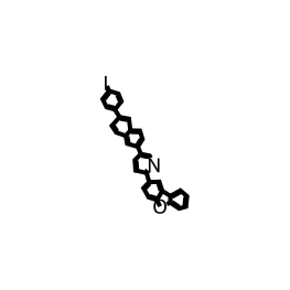 Ic1ccc(-c2ccc3cc(-c4ccc(-c5ccc6oc7ccccc7c6c5)nc4)ccc3c2)cc1